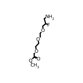 COC(=O)COCCOCCOCC(F)CN